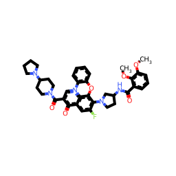 COc1cccc(C(=O)NC2CCN(c3c(F)cc4c(=O)c(C(=O)N5CCC(N6CCCC6)CC5)cn5c4c3Oc3ccccc3-5)C2)c1OC